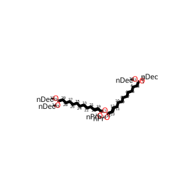 CCCCCCCCCCOC(CCCCCCCCCC=CC(OCCC)OC(C=CCCCCCCCCCC(OCCCCCCCCCC)OCCCCCCCCCC)OCCC)OCCCCCCCCCC